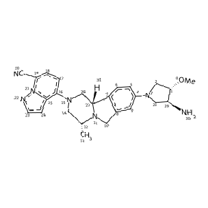 CO[C@H]1CN(c2ccc3c(c2)CN2[C@H](C)CN(c4ccc(C#N)n5nccc45)C[C@H]32)C[C@@H]1N